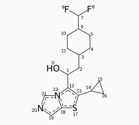 OC(CC1CCC(C(F)F)CC1)c1c(C2CC2)sc2cncn12